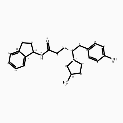 O=C(CC[C@H](Cc1ccc(O)cc1)N1CCC(O)C1)NC1CCc2ccccc21